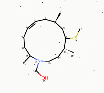 CSC1C[C@H](C)C/C=C\CCC(C)N(CO)CC[C@H]1C